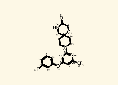 O=C1COC2(CCN(c3nc(Oc4cccc(F)c4)cc(C(F)(F)F)n3)CC2)CN1